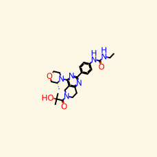 CCNC(=O)Nc1ccc(-c2nc3c(c(N4CCOC[C@H]4C)n2)CN(C(=O)C(C)(C)O)CC3)cc1